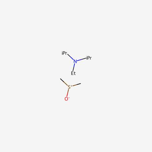 CCN(C(C)C)C(C)C.C[S+](C)[O-]